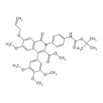 C=CCOc1cc2c(=O)n(-c3ccc(NC(=O)OC(C)(C)C)cc3)c(C(=O)OC)c(-c3cc(OC)c(OC)c(OC)c3)c2cc1OC